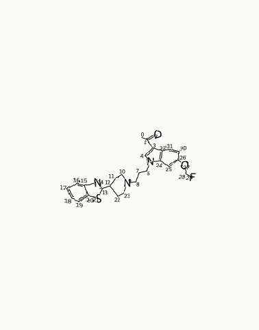 CC(=O)c1cn(CCCN2CCC(c3nc4ccccc4s3)CC2)c2cc(OCF)ccc12